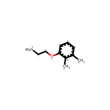 CSCCOc1cccc(C)c1C